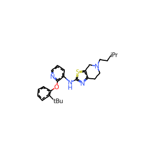 CC(C)CCN1CCc2nc(Nc3cccnc3Oc3ccccc3C(C)(C)C)sc2C1